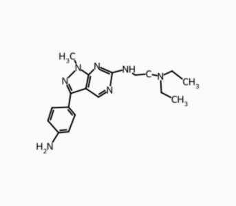 CCN(CC)CCNc1ncc2c(-c3ccc(N)cc3)nn(C)c2n1